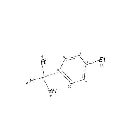 CCCC(F)(CC)c1ccc(CC)cc1